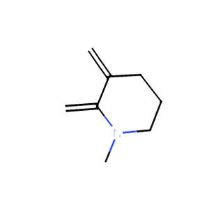 C=C1CCCN(C)C1=C